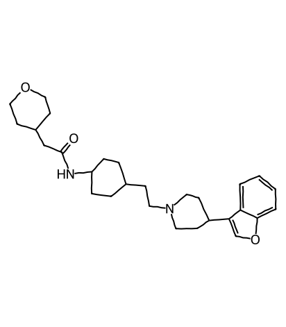 O=C(CC1CCOCC1)NC1CCC(CCN2CCC(c3coc4ccccc34)CC2)CC1